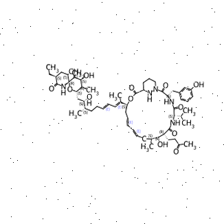 CC[C@H]1C[C@H](C)[C@@]2(NC1=O)O[C@@H](C[C@H](O)[C@@H](C)CC/C=C/C=C(\C)[C@@H]1C/C=C/C=C/C[C@H](C)[C@@H](O)[C@@H](CCC(C)=O)C(=O)N[C@@H](C(C)C)C(=O)N[C@@H](Cc3cccc(O)c3)C(=O)N3CCCC(N3)C(=O)O1)[C@H](C)[C@H](O)[C@@H]2C